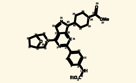 CCOC(=O)Nc1ccc(-c2nc(N3CC4CCC(C3)O4)c3cnn(C4CCN(C(=O)OC)CC4)c3n2)cc1